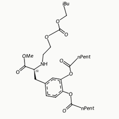 CCCCCC(=O)Oc1ccc(C[C@H](NCCOC(=O)OCC(C)CC)C(=O)OC)cc1OC(=O)CCCCC